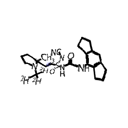 [2H]C([2H])([2H])N1CCC[C@]1(C)/C=C/S(=O)(=NC#N)NC(=O)Nc1c2c(cc3c1CCC3)CCC2